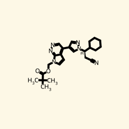 CC(C)(C)C(=O)OCn1ccc2c(-c3cnn([C@H](CC#N)C4CCCCC4)c3)cnnc21